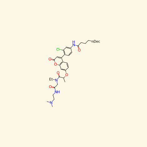 CCCCCCCCCCCCCC(=O)Nc1ccc(-c2cc(=O)oc3cc(OC(C)C(=O)N(CC)CC(=O)NCCN(C)C)ccc23)c(Cl)c1